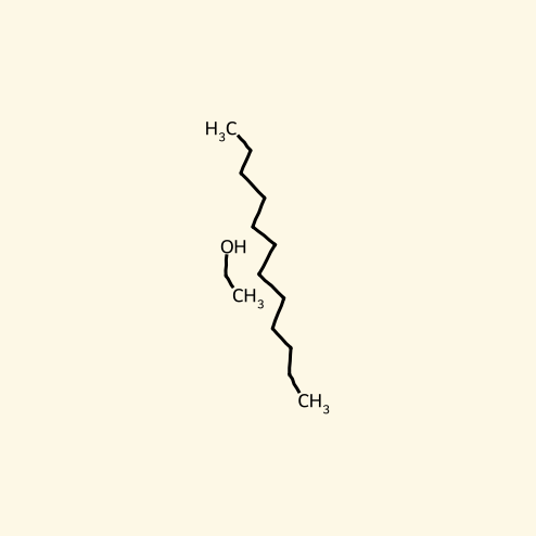 CCCCCCCCCCCC.CCO